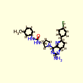 Cc1cccc(NC(=O)N[C@@H]2CCN(c3nc(N)nc4ccc(-c5ccc(F)cc5)nc34)C2)c1